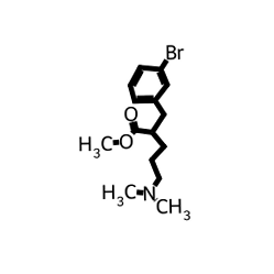 COC(=O)C(CCCN(C)C)Cc1cccc(Br)c1